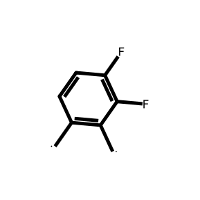 [CH2]c1ccc(F)c(F)c1[CH2]